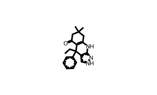 CCC1(c2ccccc2)C2=C(CC(C)(C)CC2=O)Nc2n[nH]cc21